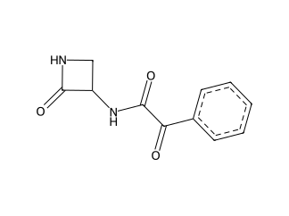 O=C(NC1CNC1=O)C(=O)c1ccccc1